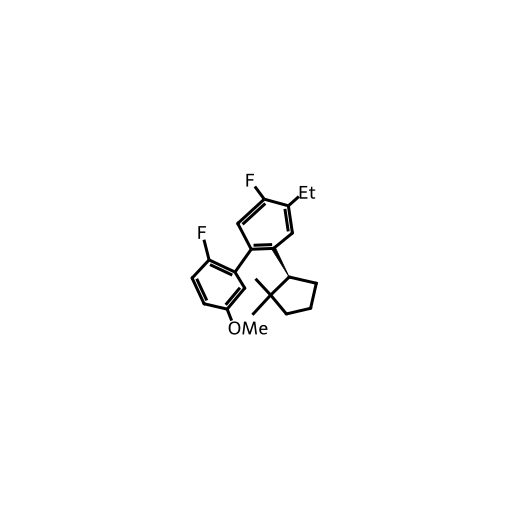 CCc1cc([C@H]2CCCC2(C)C)c(-c2cc(OC)ccc2F)cc1F